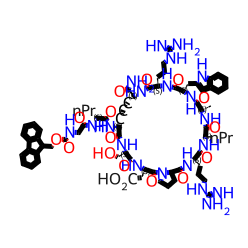 CCC[C@H](NC(=O)CNC(=O)OCC1c2ccccc2-c2ccccc21)C(=O)N[C@H]1CCC[C@@H](C(N)=O)NC(=O)[C@H](CCCNC(=N)N)NC(=O)[C@H](Cc2cc3ccccc3[nH]2)NC(=O)[C@H](C)NC(=O)[C@H](CCC)NC(=O)[C@H](CCCNC(=N)N)NC(=O)C2CCCN2C(=O)[C@H](CC(=O)O)NC(=O)[C@H](CO)NC1=O